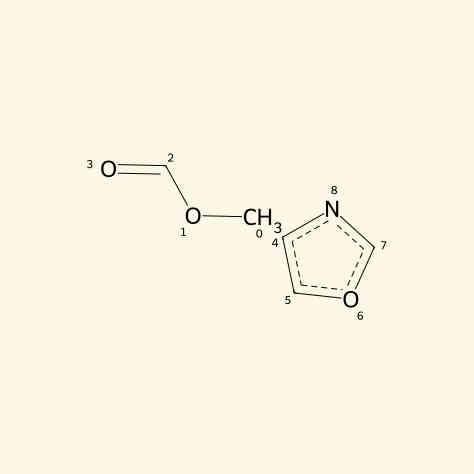 COC=O.c1cocn1